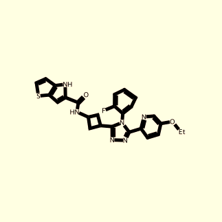 CCOc1ccc(-c2nnc(C3CC(NC(=O)c4cc5sccc5[nH]4)C3)n2-c2ccccc2F)nc1